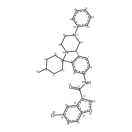 CC1CCC(c2cccc(NC(=O)c3noc4ccc(Cl)cc34)c2)(N2CCN(c3ccccc3)CC2)CC1